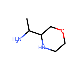 CC(N)C1COCCN1